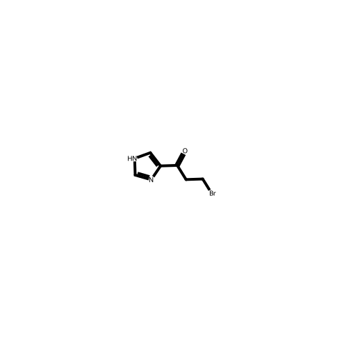 O=C(CCBr)c1c[nH]cn1